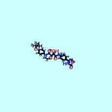 [2H]C([2H])([2H])Oc1ccc(N2CCO[C@H]([C@@H](O)C(=O)Nc3ccc(-c4noc(=O)[nH]4)cc3)C2=O)cc1